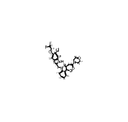 O=C(Cc1nn(Cc2nc3cc(OCC(F)F)c(Cl)cc3[nH]2)c2ccccc2c1=O)N1CCOCC1